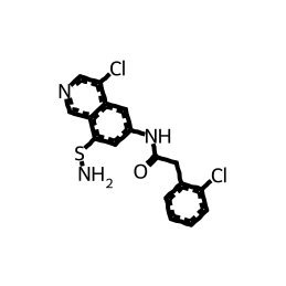 NSc1cc(NC(=O)Cc2ccccc2Cl)cc2c(Cl)cncc12